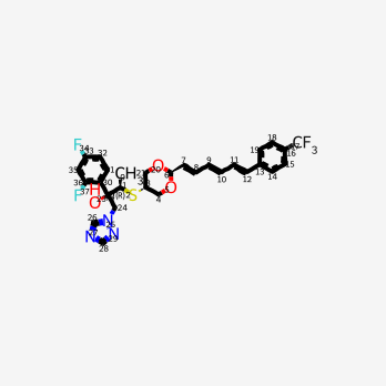 C[C@@H](S[C@H]1CO[C@H](C=CC=CC=Cc2ccc(C(F)(F)F)cc2)OC1)[C@](O)(Cn1cncn1)c1ccc(F)cc1F